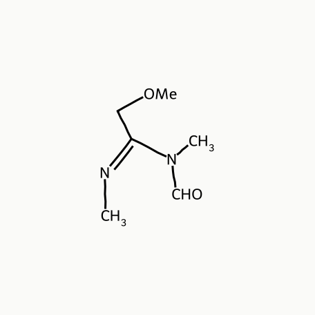 C/N=C(/COC)N(C)C=O